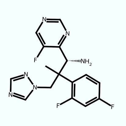 CC(Cn1cncn1)(c1ccc(F)cc1F)[C@@H](N)c1ncncc1F